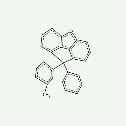 Cc1cccc(C2(c3ccccc3)c3cccc4oc5cccc2c5c34)c1